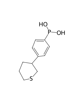 OP(O)c1ccc(C2CCCSC2)cc1